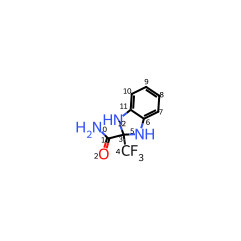 NC(=O)C1(C(F)(F)F)Nc2c[c]ccc2N1